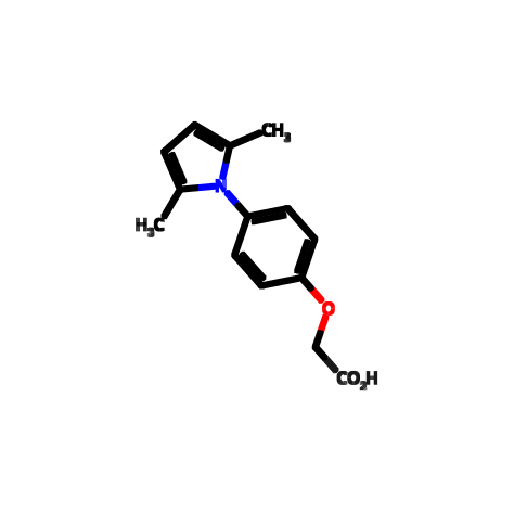 Cc1ccc(C)n1-c1ccc(OCC(=O)O)cc1